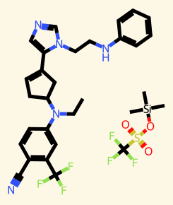 CCN(c1ccc(C#N)c(C(F)(F)F)c1)C1CC=C(c2cncn2CCNc2ccccc2)C1.C[Si](C)(C)OS(=O)(=O)C(F)(F)F